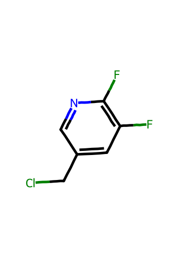 Fc1cc(CCl)cnc1F